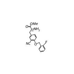 COC(=O)[C@@H](N)Cc1ccc(OCc2ccccc2F)c(C#N)c1